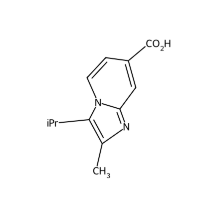 Cc1nc2cc(C(=O)O)ccn2c1C(C)C